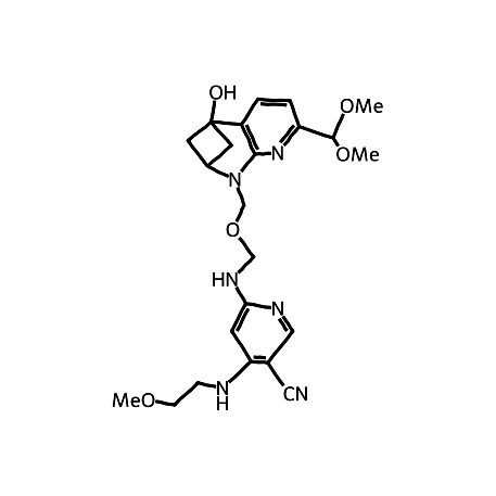 COCCNc1cc(NCOCN2c3nc(C(OC)OC)ccc3C3(O)CC2C3)ncc1C#N